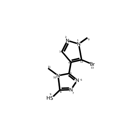 Cn1ncc(-c2nnc(S)n2C)c1Br